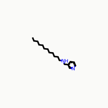 CCCCCCCCCCCCNCc1cccnc1